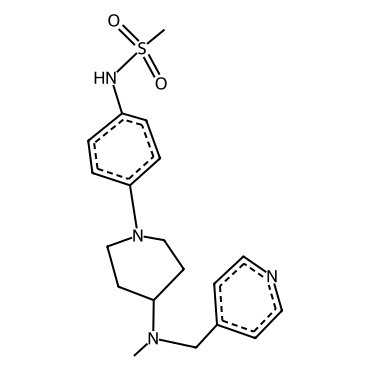 CN(Cc1ccncc1)C1CCN(c2ccc(NS(C)(=O)=O)cc2)CC1